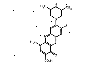 CC1CN(c2cc3nc4c(cc3cc2F)c(=O)c(C(=O)O)cn4C)CC(C)N1